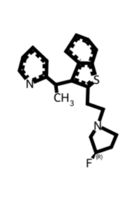 CC(c1ccccn1)c1c(CCN2CC[C@@H](F)C2)sc2ccccc12